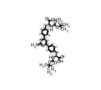 CC(C)(C)OC(=O)N[C@@H](Cc1ccc(-c2cc(-c3ccc(C[C@H](NC(=O)OC(C)(C)C)C(=O)O)cc3)nc(N)n2)cc1)C(=O)O